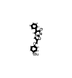 CC(C)(C)c1ccc(OCC2Cn3cc(-c4ccccc4)c(=O)nc3O2)cc1